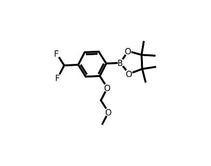 COCOc1cc(C(F)F)ccc1B1OC(C)(C)C(C)(C)O1